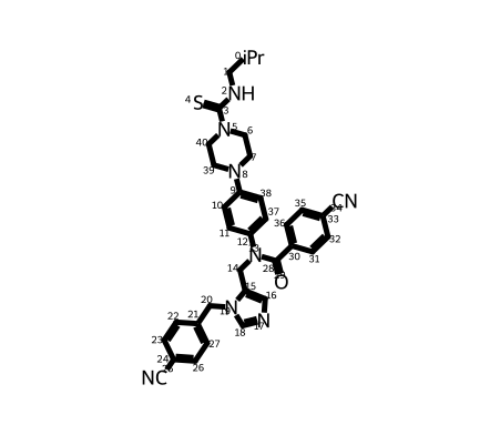 CC(C)CNC(=S)N1CCN(c2ccc(N(Cc3cncn3Cc3ccc(C#N)cc3)C(=O)c3ccc(C#N)cc3)cc2)CC1